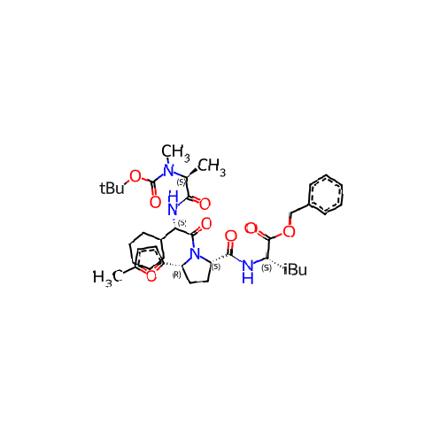 CCC(C)[C@H](NC(=O)[C@@H]1CC[C@H](c2ccc(C)o2)N1C(=O)[C@@H](NC(=O)[C@H](C)N(C)C(=O)OC(C)(C)C)C1CCCCC1)C(=O)OCc1ccccc1